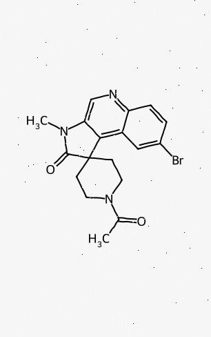 CC(=O)N1CCC2(CC1)C(=O)N(C)c1cnc3ccc(Br)cc3c12